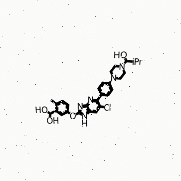 Cc1ccc(Oc2nc3nc(-c4ccc(N5CCN(C(O)C(C)C)CC5)cc4)c(Cl)cc3[nH]2)cc1C(O)O